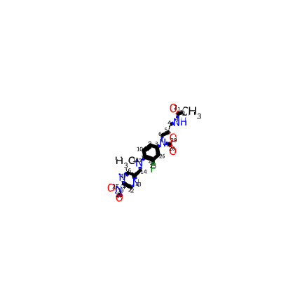 CC(=O)NC[C@H]1CN(c2ccc(N(C)Cc3cnc([N+](=O)[O-])cn3)c(F)c2)C(=O)O1